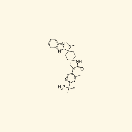 Cc1cc(C(C)(F)P)ncc1N1C[C@]2(CC[C@](c3nc4ccccc4n3C)(N(C)C)CC2)NC1=O